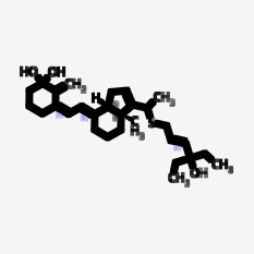 C=C1/C(=C\C=C2/CCC[C@]3(C)C(C(C)SC/C=C/C(O)(CC)CC)=CC[C@@H]23)CCCC1(O)O